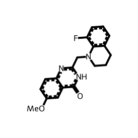 COc1ccc2nc(CN3CCCc4cccc(F)c43)[nH]c(=O)c2c1